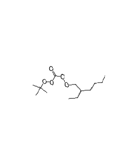 CCCCC(CC)COOC(=O)OOC(C)(C)C